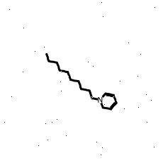 CCCCCCCCCCN1C=CC=CC1